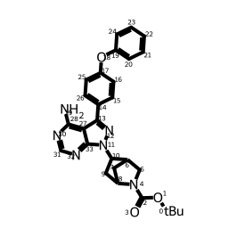 CC(C)(C)OC(=O)N1CC2CC1CC2n1nc(-c2ccc(Oc3ccccc3)cc2)c2c(N)ncnc21